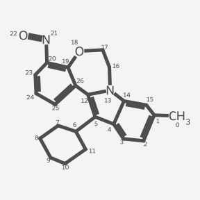 Cc1ccc2c(C3CCCCC3)c3n(c2c1)CCOc1c(N=O)cccc1-3